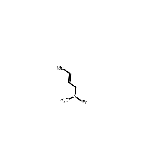 CC(C)N(C)C/C=C/C(C)(C)C